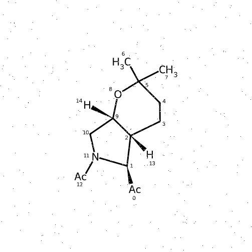 CC(=O)[C@@H]1[C@H]2CCC(C)(C)O[C@H]2CN1C(C)=O